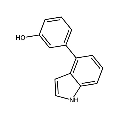 Oc1c[c]cc(-c2cccc3[nH]ccc23)c1